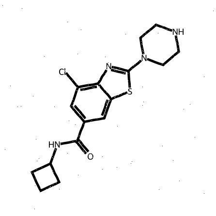 O=C(NC1CCC1)c1cc(Cl)c2nc(N3CCNCC3)sc2c1